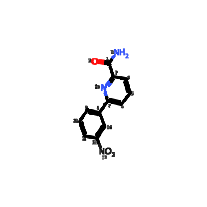 NC(=O)c1cccc(-c2cccc([N+](=O)[O-])c2)n1